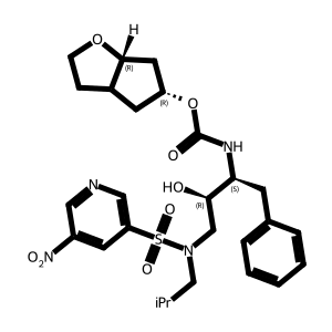 CC(C)CN(C[C@@H](O)[C@H](Cc1ccccc1)NC(=O)O[C@@H]1CC2CCO[C@@H]2C1)S(=O)(=O)c1cncc([N+](=O)[O-])c1